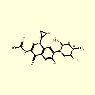 CC1CN(c2cc3c(cc2F)c(=O)c(OC(=O)O)cn3C2CC2)C(C)CN1C